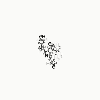 CC(C)Oc1cc2c(OCC3CCC(=O)N3)ncc(-c3cnn(C4CCN(C)CC4)c3)c2cc1C(N)=O